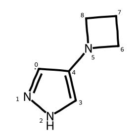 [c]1n[nH]cc1N1CCC1